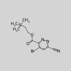 C[Si](C)(C)CCOC(=O)c1nnc(C#N)cc1Br